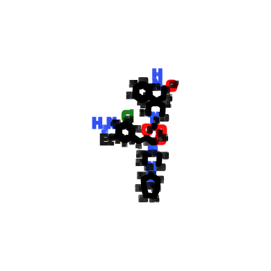 CCc1cc(C[C@@H](OC(=O)N2CCC3(CC2)CC(=O)Nc2ccccc23)C(=O)N2CCN(C3CC4CCC(C3)N4)CC2)cc(Cl)c1N